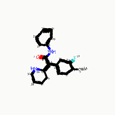 COC1CC=C(/C(C(=O)Nc2ccccc2)=C2\CCCCN2)C=C1F